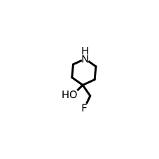 OC1(CF)CCNCC1